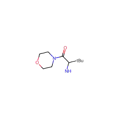 CC(C)(C)C([NH])C(=O)N1CCOCC1